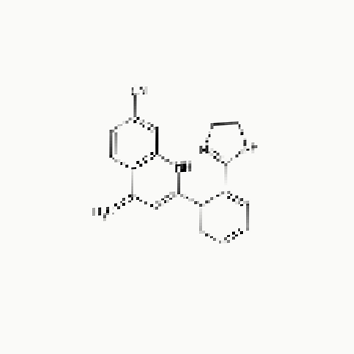 C=C1C=C(c2ccccc2-c2ncc[nH]2)Nc2cc(C#N)ccc21